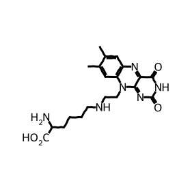 Cc1cc2nc3c(=O)[nH]c(=O)nc-3n(CCNCCCCC(N)C(=O)O)c2cc1C